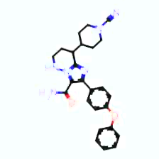 N#CN1CCC(C2CCNn3c2nc(-c2ccc(Oc4ccccc4)cc2)c3C(N)=O)CC1